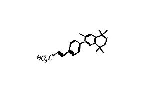 Cc1cc2c(cc1-c1ccc(/C=C/C(=O)O)cc1)C(C)(C)CCC2(C)C